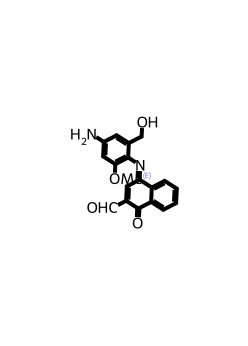 COc1cc(N)cc(CO)c1/N=C1\C=C(C=O)C(=O)c2ccccc21